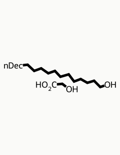 CCCCCCCCCCCCCCCCCCCCCCO.O=C(O)CO